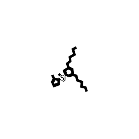 CCCCCCc1cc(CCCCCC)cc([Si](C)(C)[C]2C=CC=C2C)c1